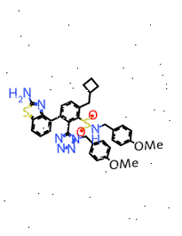 COc1ccc(CNS(=O)(=O)c2c(CC3CCC3)ccc(-c3cccc4sc(N)nc34)c2-c2nnnn2Cc2ccc(OC)cc2)cc1